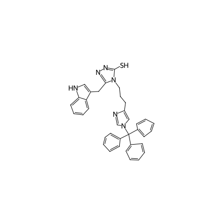 Sc1nnc(Cc2c[nH]c3ccccc23)n1CCCc1cn(C(c2ccccc2)(c2ccccc2)c2ccccc2)cn1